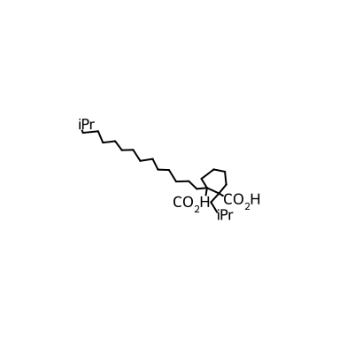 CC(C)CCCCCCCCCCCCCC1(C(=O)O)CCCCC1(CC(C)C)C(=O)O